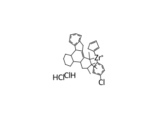 Cl.Cl.[CH2]=[Zr]([C]1=CC=CC1)([c]1ccc(Cl)cc1)[C]1(C)C2=C3Cc4ccccc4C3C3CCCCC3C2CC(C)C1(C)C